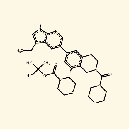 CCc1c[nH]c2ncc(-c3cc4c(c([C@@H]5COCCN5C(=O)OC(C)(C)C)c3)CN(C(=O)N3CCOCC3)CC4)cc12